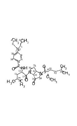 CCN(CC)c1ccc(C(=O)NC(CC(C)C)C(=O)N2CCC3C2C(=O)CN3C(=O)C(CCC(C)C)OC)cc1